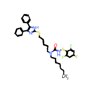 CCCCCCCN(CCCCCSc1nc(-c2ccccc2)c(-c2ccccc2)[nH]1)C(=O)NSc1c(F)cc(F)cc1F